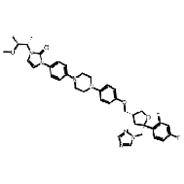 CO[C@@H](C)[C@H](C)n1ccn(-c2ccc(N3CCN(c4ccc(OC[C@@H]5CO[C@@](Cn6cncn6)(c6ccc(F)cc6F)C5)cc4)CC3)cc2)c1=O